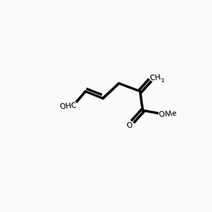 C=C(CC=CC=O)C(=O)OC